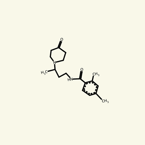 Cc1ccc(C(=O)NCCC(C)N2CCC(=O)CC2)c(C)c1